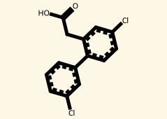 O=C(O)Cc1cc(Cl)ccc1-c1cccc(Cl)c1